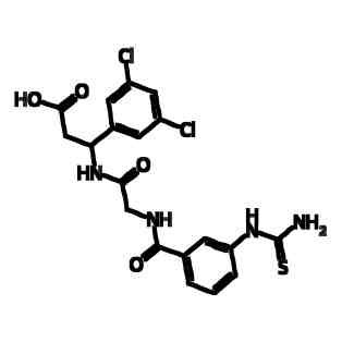 NC(=S)Nc1cccc(C(=O)NCC(=O)NC(CC(=O)O)c2cc(Cl)cc(Cl)c2)c1